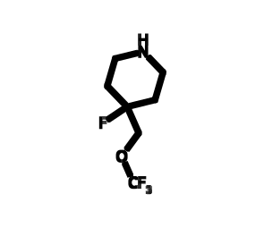 FC1(COC(F)(F)F)CCNCC1